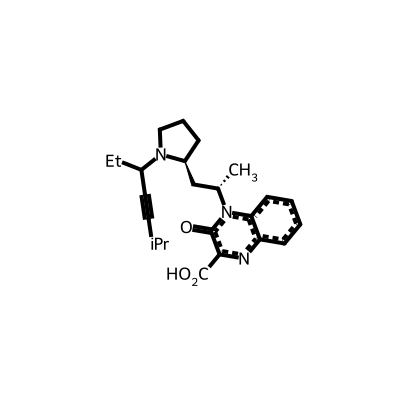 CCC(C#CC(C)C)N1CCC[C@H]1C[C@H](C)n1c(=O)c(C(=O)O)nc2ccccc21